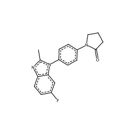 Cc1nc2ccc(F)cc2n1-c1ccc(N2CCCC2=O)cc1